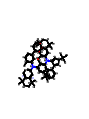 C=C(/C=C1\C(=C/C)C(C)(C)CCC1(C)C)N(c1cc(-c2ccccc2)ccc1C)c1cc(C(C)(C)C)cc(N(C2=CC(C(C)(C)C)C=C2c2ccccc2)c2cc3c(cc2C)C(C)(C)CCC3(C)C)c1C